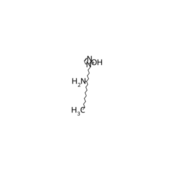 CCCCCCCCCCC(N)CCCCC[n+]1cccnc1O